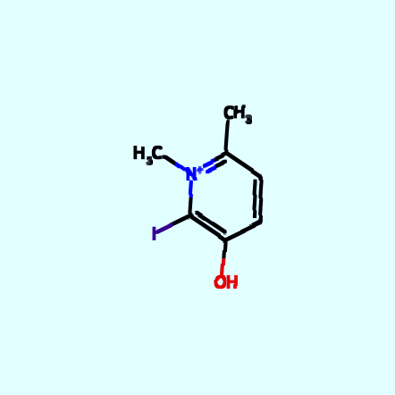 Cc1ccc(O)c(I)[n+]1C